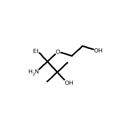 CCC(N)(OCCO)C(C)(C)O